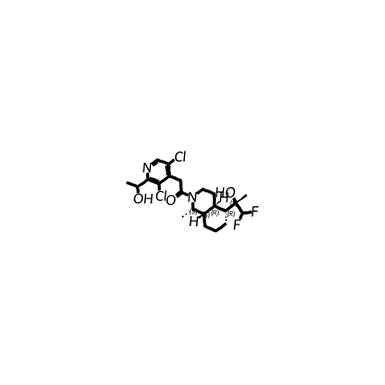 CC(O)c1ncc(Cl)c(CC(=O)N2CC[C@@H]3[C@H](CCC[C@H]3[C@](C)(O)C(F)F)[C@@H]2C)c1Cl